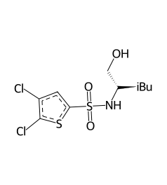 CC[C@H](C)[C@@H](CO)NS(=O)(=O)c1cc(Cl)c(Cl)s1